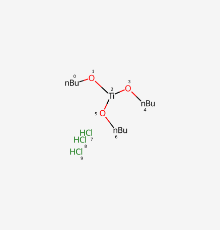 CCCC[O][Ti]([O]CCCC)[O]CCCC.Cl.Cl.Cl